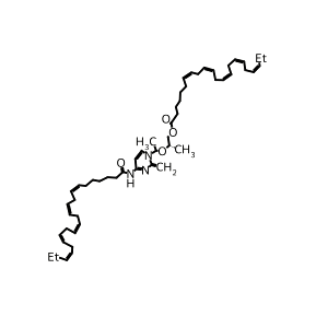 C=C1N=C(NC(=O)CCCCC/C=C\C/C=C\C/C=C\C/C=C\C/C=C\CC)C=CN1C(C)O[C@@H](C)COC(=O)CCCCC/C=C\C/C=C\C/C=C\C/C=C\C/C=C\CC